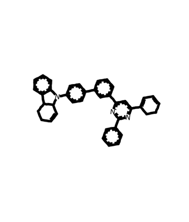 C1=CCCC(c2cc(-c3cccc(-c4ccc(N5c6ccccc6C6CCC=CC65)cc4)c3)nc(-c3ccccc3)n2)=C1